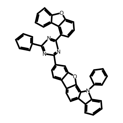 c1ccc(-c2nc(-c3ccc4c(c3)oc3c4ccc4c5ccccc5n(-c5ccccc5)c43)nc(-c3cccc4oc5ccccc5c34)n2)cc1